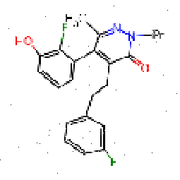 Cc1nn(C(C)C)c(=O)c(CCc2cccc(F)c2)c1-c1cccc(O)c1F